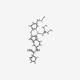 CCSc1ccc(Cc2nc3cc(NC(=N)c4cccs4)ccc3n2CCN(CC)CC)cc1